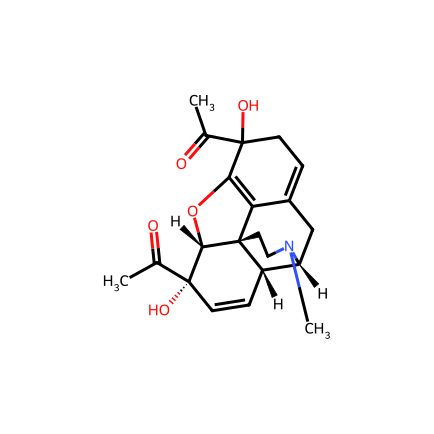 CC(=O)C1(O)CC=C2C[C@@H]3[C@@H]4C=C[C@@](O)(C(C)=O)[C@@H]5OC1=C2[C@@]54CCN3C